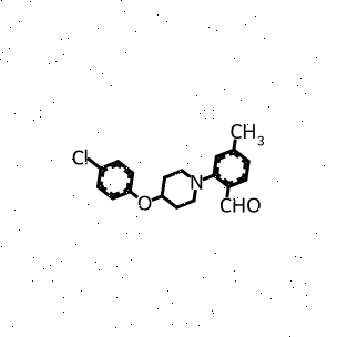 Cc1ccc(C=O)c(N2CCC(Oc3ccc(Cl)cc3)CC2)c1